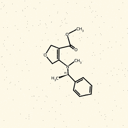 COC(=O)C1=C(N(C)[C@H](C)c2ccccc2)COC1